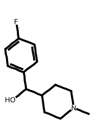 CN1CCC(C(O)c2ccc(F)cc2)CC1